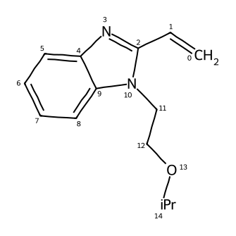 C=Cc1nc2ccccc2n1CCOC(C)C